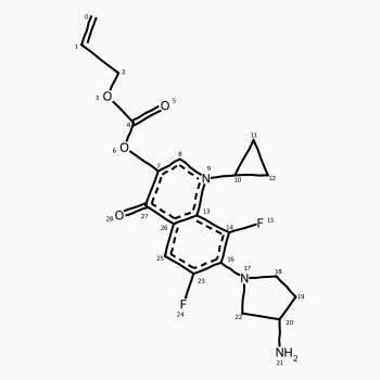 C=CCOC(=O)Oc1cn(C2CC2)c2c(F)c(N3CCC(N)C3)c(F)cc2c1=O